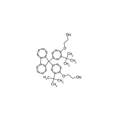 CC(C)(C)c1cc(C2(c3ccc(OCCO)c(C(C)(C)C)c3)c3ccccc3-c3ccccc32)ccc1OCCO